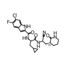 N#CC(C[C@@H]1CCCNC1=O)NC(=O)C(CC1CC1)NC(=O)c1cc2cc(F)c(Cl)cc2[nH]1